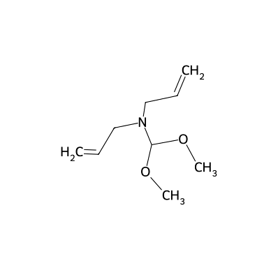 C=CCN(CC=C)C(OC)OC